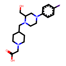 O=C(O)CN1CCC(CN2CCN(c3ccc(I)cc3)CC2CO)CC1